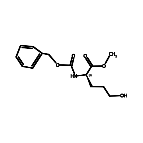 COC(=O)[C@@H](CCCO)NC(=O)OCc1ccccc1